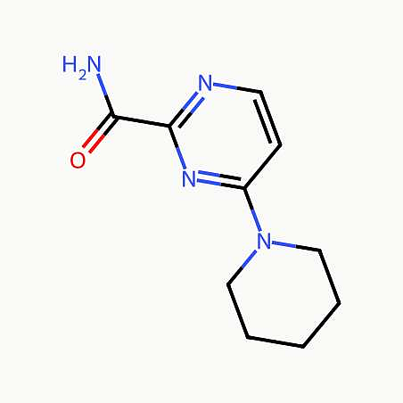 NC(=O)c1nccc(N2CCCCC2)n1